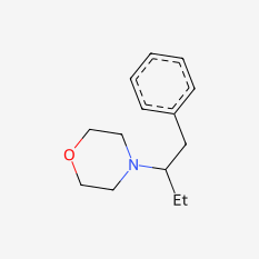 CCC(Cc1ccccc1)N1CCOCC1